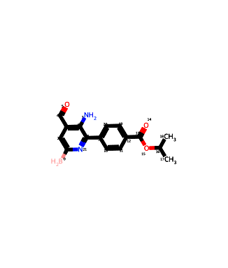 Bc1cc(C=O)c(N)c(-c2ccc(C(=O)OC(C)C)cc2)n1